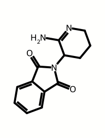 NC1=NCCCC1N1C(=O)c2ccccc2C1=O